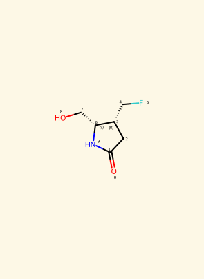 O=C1C[C@@H](CF)[C@@H](CO)N1